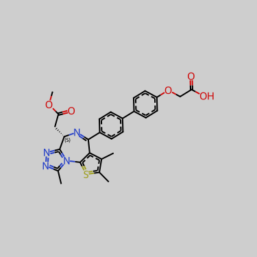 COC(=O)C[C@@H]1N=C(c2ccc(-c3ccc(OCC(=O)O)cc3)cc2)c2c(sc(C)c2C)-n2c(C)nnc21